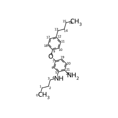 CCCCNc1cc(Oc2ccc(CCCC)cc2)ccc1N